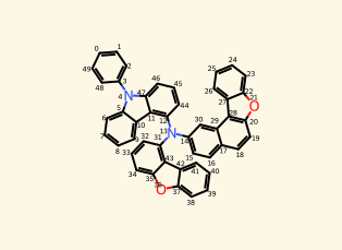 c1ccc(-n2c3ccccc3c3c(N(c4ccc5ccc6oc7ccccc7c6c5c4)c4cccc5oc6ccccc6c45)cccc32)cc1